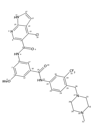 COc1cc(NC(=O)c2cnc3[nH]ccc3c2Cl)cc(C(=O)Nc2ccc(CN3CCN(C)CC3)c(C(F)(F)F)c2)c1